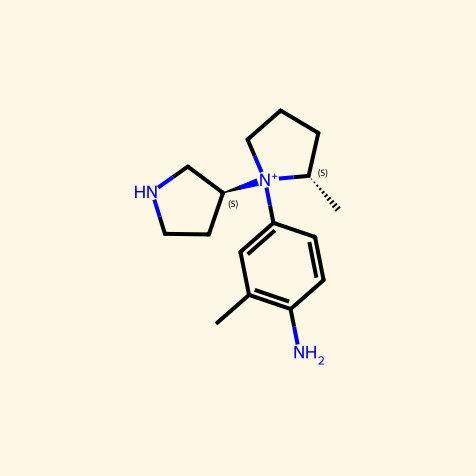 Cc1cc([N+]2([C@H]3CCNC3)CCC[C@@H]2C)ccc1N